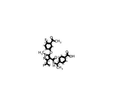 CC(=O)c1cc(Oc2c(C(=O)NC(C)c3ccc(C(=O)O)cc3)c(C(F)F)nn2C)ccc1F